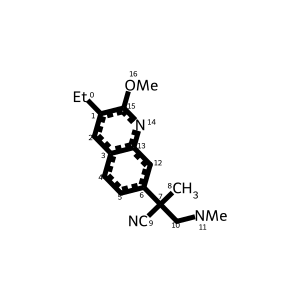 CCc1cc2ccc(C(C)(C#N)CNC)cc2nc1OC